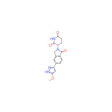 COc1cc(-c2ccc3c(c2)CN(C2CCC(=O)NC2=O)C3=O)n[nH]1